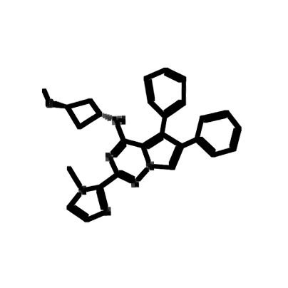 CO[C@H]1C[C@H](Nc2nc(-c3nccn3C)nn3cc(-c4ccccc4)c(-c4ccccc4)c23)C1